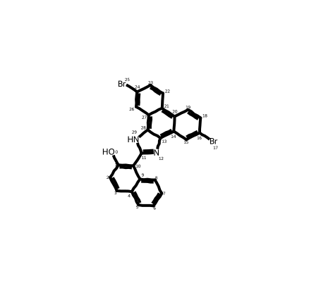 Oc1ccc2ccccc2c1-c1nc2c3cc(Br)ccc3c3ccc(Br)cc3c2[nH]1